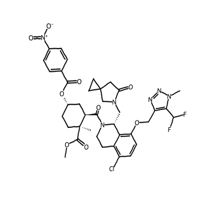 COC(=O)[C@@]1(C)CC[C@H](OC(=O)c2ccc([N+](=O)[O-])cc2)C[C@H]1C(=O)N1CCc2c(Cl)ccc(OCc3nnn(C)c3C(F)F)c2[C@H]1CN1CC2(CC2)CC1=O